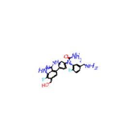 NCc1ccc(F)c(N(C(N)=O)c2ccc(-c3cc(CO)c(F)c4[nH]nc(N)c34)cc2)c1